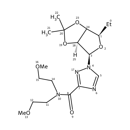 CC[C@H]1O[C@@H](n2cnc(C(=O)N(CCOC)CCOC)n2)[C@H]2OC(C)(C)OC12